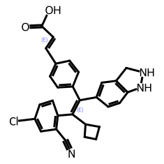 N#Cc1cc(Cl)ccc1/C(=C(\c1ccc(/C=C/C(=O)O)cc1)c1ccc2c(c1)CNN2)C1CCC1